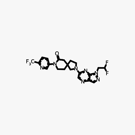 O=C1CC2(CCN(c3cnc4cnn(CC(F)F)c4n3)C2)CCN1c1ccc(C(F)(F)F)nc1